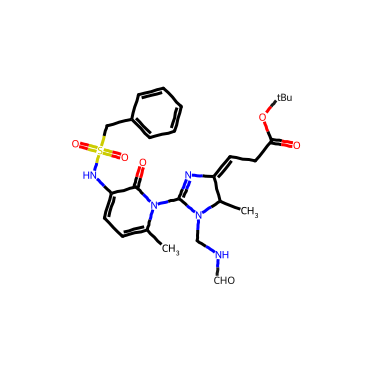 Cc1ccc(NS(=O)(=O)Cc2ccccc2)c(=O)n1C1=NC(=CCC(=O)OC(C)(C)C)C(C)N1CNC=O